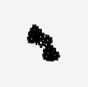 Cc1c(-c2cc3c4c(c2)Oc2cccc5c2B4c2c(cccc2O3)O5)cccc1-c1cc2c3c(c1)Oc1cccc4c1B3c1c(cccc1O2)O4